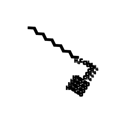 C.C.C.C.C.C.C.CCCCCCCCCCCC.N=C=O.N=C=O.N=C=O.N=C=O